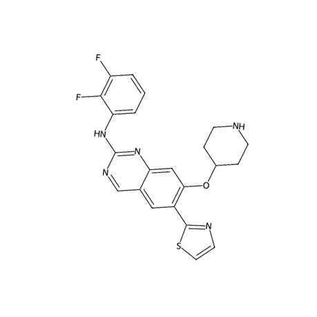 Fc1cccc(Nc2ncc3cc(-c4nccs4)c(OC4CCNCC4)cc3n2)c1F